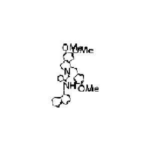 COc1ccc(CC2c3cc(OC)c(OC)cc3CCN2CC(=O)NCc2cccc3ccccc23)cc1